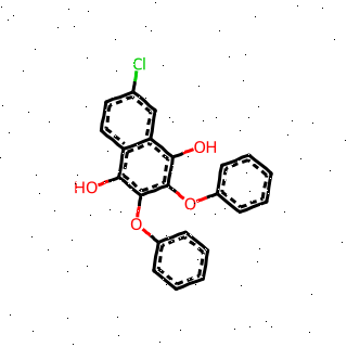 Oc1c(Oc2ccccc2)c(Oc2ccccc2)c(O)c2cc(Cl)ccc12